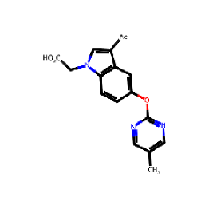 CC(=O)c1cn(CC(=O)O)c2ccc(Oc3ncc(C)cn3)cc12